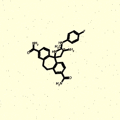 C[C@@H](N)CC1(NCNc2ccc(F)cc2)c2ccc(C(N)=O)cc2CCc2cc(C(N)=O)ccc21